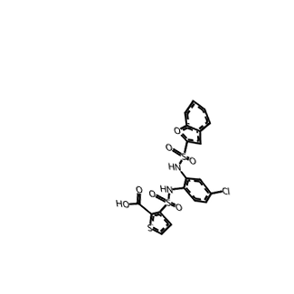 O=C(O)c1sccc1S(=O)(=O)Nc1ccc(Cl)cc1NS(=O)(=O)c1cc2ccccc2o1